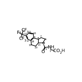 O=C(O)CNC(=O)[C@@H]1CCC2c3ccc(C(F)(C(F)(F)F)C(F)(F)F)cc3CCC21